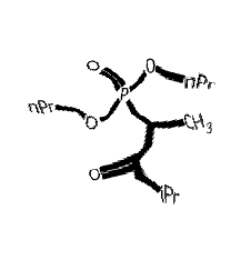 CCCOP(=O)(OCCC)C(C)C(=O)C(C)C